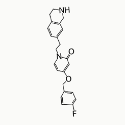 O=c1cc(OCc2ccc(F)cc2)ccn1CCc1ccc2c(c1)CNCC2